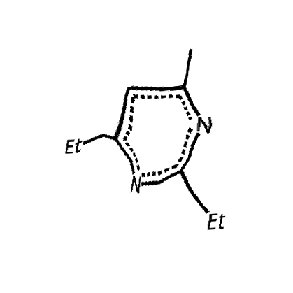 CCc1cc(C)nc(CC)n1